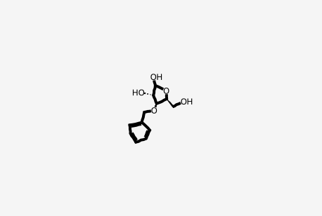 OC[C@@H]1OC(O)[C@@H](O)[C@@H]1OCc1ccccc1